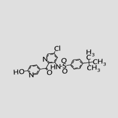 CC(C)(C)c1ccc(S(=O)(=O)Nc2cc(Cl)cnc2C(=O)c2ccc(O)nc2)cc1